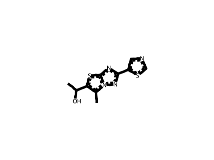 Cc1c(C(C)O)sc2nc(-c3cncs3)nn12